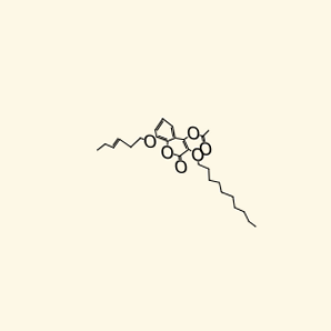 CC/C=C/CCOc1cccc2c(OC(C)=O)c(OCCCCCCCCCC)c(=O)oc12